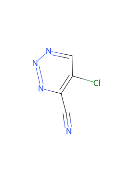 N#Cc1nnncc1Cl